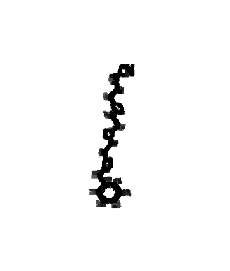 N#CSCCOCCOCCOCc1ccccc1